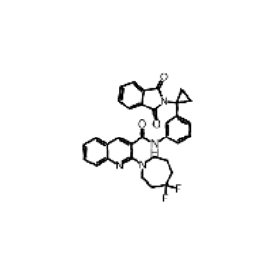 O=C(Nc1cccc(C2(N3C(=O)c4ccccc4C3=O)CC2)c1)c1cc2ccccc2nc1N1CCCC(F)(F)CC1